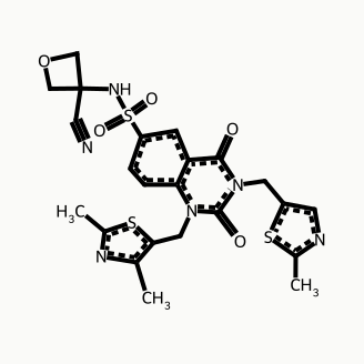 Cc1ncc(Cn2c(=O)c3cc(S(=O)(=O)NC4(C#N)COC4)ccc3n(Cc3sc(C)nc3C)c2=O)s1